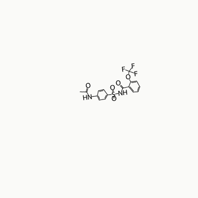 CC(=O)Nc1ccc(S(=O)(=O)NC(=O)c2ccccc2OC(F)(F)F)cc1